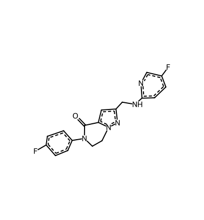 O=C1c2cc(CNc3ccc(F)cn3)nn2CCN1c1ccc(F)cc1